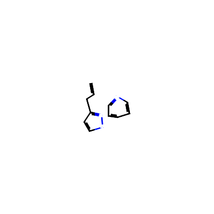 C=CCc1cc[nH]n1.c1ccncc1